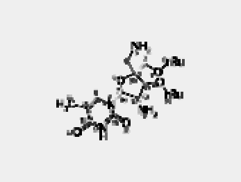 CCCCOC[C@@]1(CN)O[C@@H](n2cc(C)c(=O)[nH]c2=O)[C@@H](N)C1OCCCC